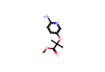 COC(=O)C(C)(C)Oc1ccc(N)nc1